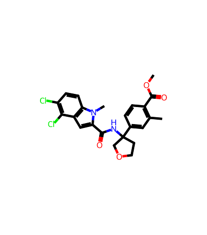 COC(=O)c1ccc(C2(NC(=O)c3cc4c(Cl)c(Cl)ccc4n3C)CCOC2)cc1C